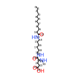 CCCCCCCCCCCC(=O)NCCCCCCNC(=O)C(CCC(=O)O)NC